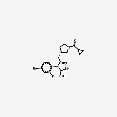 O=CC1NN=C(C[C@@H]2CCN(C(=O)C3CC3)C2)N1c1ccc(Br)cc1F